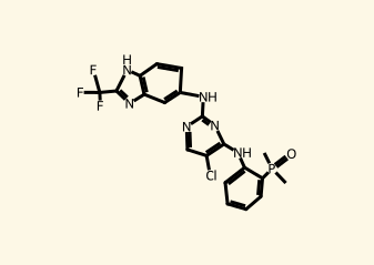 CP(C)(=O)c1ccccc1Nc1nc(Nc2ccc3[nH]c(C(F)(F)F)nc3c2)ncc1Cl